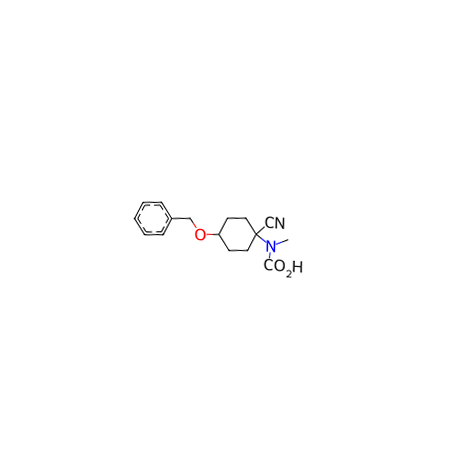 CN(C(=O)O)C1(C#N)CCC(OCc2ccccc2)CC1